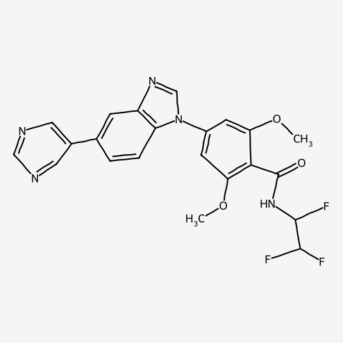 COc1cc(-n2cnc3cc(-c4cncnc4)ccc32)cc(OC)c1C(=O)NC(F)C(F)F